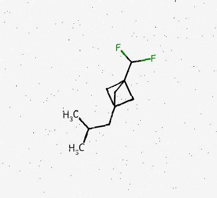 CC(C)CC12CC(C(F)F)(C1)C2